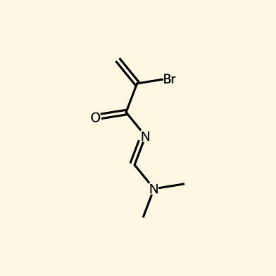 C=C(Br)C(=O)N=CN(C)C